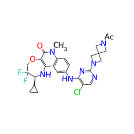 CC(=O)N1CC2(C1)CN(c1ncc(Cl)c(Nc3ccc4c(c3)c3c(c(=O)n4C)OCC(F)(F)[C@H](C4CC4)N3)n1)C2